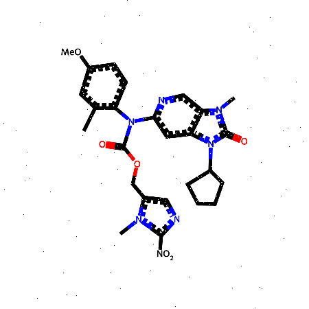 COc1ccc(N(C(=O)OCc2cnc([N+](=O)[O-])n2C)c2cc3c(cn2)n(C)c(=O)n3C2CCCC2)c(C)c1